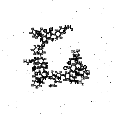 CC(Oc1nc2c3c(c(Cl)c(-c4cc(C5CC[C@@]6(C(C)Oc7nc8c9c(c(Cl)c(-c%10c(F)cc(C%11CC[C@@]%12(COc%13nc%14c%15c(c(Cl)c(-c%16ccc%17sc(N)cc%17c%16)c(F)c%15n%13)OCC%13C%15CCC(CN%14%13)N%15)CCCN%11%12)c%11sc(N)c(C#N)c%10%11)c(F)c9n7)OCC7C9CCC(CN87)N9)CC(CF)CN56)cc5sc(N)c(C#N)c45)c(F)c3n1)OCC1C3CCC(CN21)N3)C12CCCN1CCC2